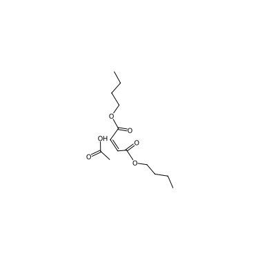 CC(=O)O.CCCCOC(=O)/C=C\C(=O)OCCCC